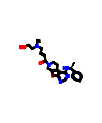 CCN(C/C=C/C(=O)N1CCc2c(sc3ncnc(N[C@H](C)c4ccccc4)c23)C1)CCO